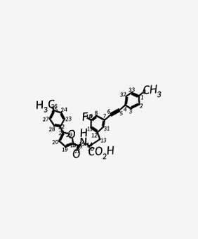 Cc1ccc(C#Cc2cc(F)cc(CC(NC(=O)c3ccc(-c4ccc(C)cc4)o3)C(=O)O)c2)cc1